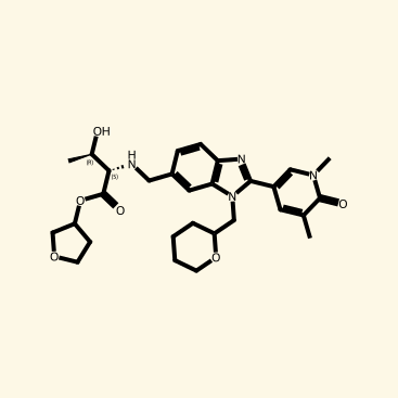 Cc1cc(-c2nc3ccc(CN[C@H](C(=O)OC4CCOC4)[C@@H](C)O)cc3n2CC2CCCCO2)cn(C)c1=O